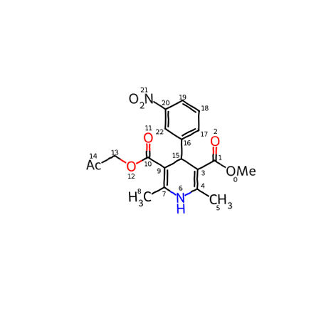 COC(=O)C1=C(C)NC(C)=C(C(=O)OCC(C)=O)C1c1cccc([N+](=O)[O-])c1